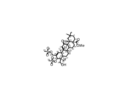 COC(=O)[C@]12CCC(C)(C)C[C@H]1[C@H]1C(=O)C=C3[C@@]4(C)C=C(COS(C)(=O)=O)[C@H](OS(C)(=O)=O)[C@@](C)(CO)[C@@H]4CC[C@@]3(C)[C@]1(C)CC2